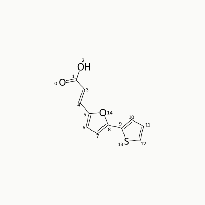 O=C(O)/C=C/c1ccc(-c2cccs2)o1